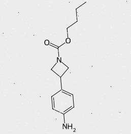 CCCCOC(=O)N1CC(c2ccc(N)cc2)C1